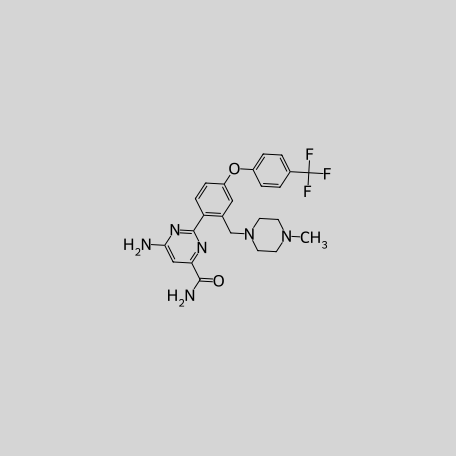 CN1CCN(Cc2cc(Oc3ccc(C(F)(F)F)cc3)ccc2-c2nc(N)cc(C(N)=O)n2)CC1